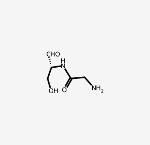 NCC(=O)N[C@@H](C=O)CO